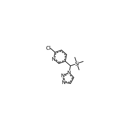 C[Si](C)(C)C(c1ccc(Cl)nc1)n1ccnn1